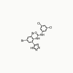 O=C(Nc1cc(Cl)cc(Cl)c1)Nc1c(Br)cc(Br)cc1-c1nnn[nH]1